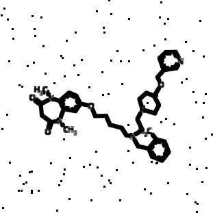 Cc1ccccc1CN(CCCCCOc1ccc2c(c1)N(C)C(=O)CC(=O)N2C)CCN1CCC(OCc2cccnc2)CC1